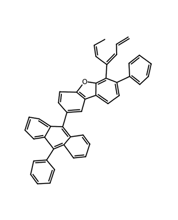 C=C/C=C(\C=C/C)c1c(-c2ccccc2)ccc2c1oc1ccc(-c3c4ccccc4c(-c4ccccc4)c4ccccc34)cc12